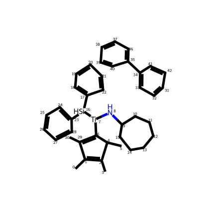 CC1=C(C)C(C)[C]([Ti]([NH]C2CCCCCC2)[SiH](c2ccccc2)c2ccccc2)=C1C.c1ccc(-c2ccccc2)cc1